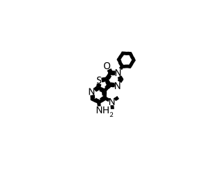 CN(C)c1c(N)cnc2sc3c(=O)n(C4CCCCC4)cnc3c12